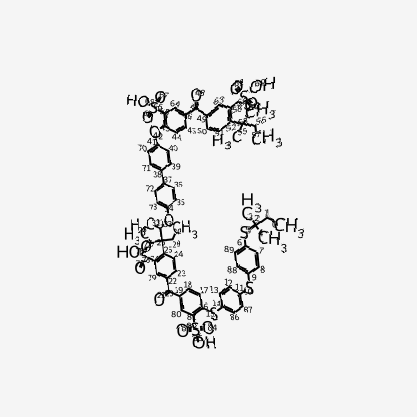 CCC(C)(C)Sc1ccc(Sc2ccc(Sc3ccc(C(=O)c4ccc(C(CC)(CC)C(C)Oc5ccc(-c6ccc(Oc7ccc(C(=O)c8ccc(C(C)(C)CC)c(S(=O)(=O)O)c8)cc7S(=O)(=O)O)cc6)cc5)c(S(=O)(=O)O)c4)cc3S(=O)(=O)O)cc2)cc1